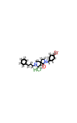 Cl.O=C1N(Cc2ccc(Br)cc2)CCC12CCN(CCCc1ccccc1)CC2